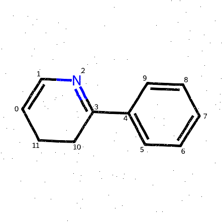 C1=CN=C(c2ccccc2)CC1